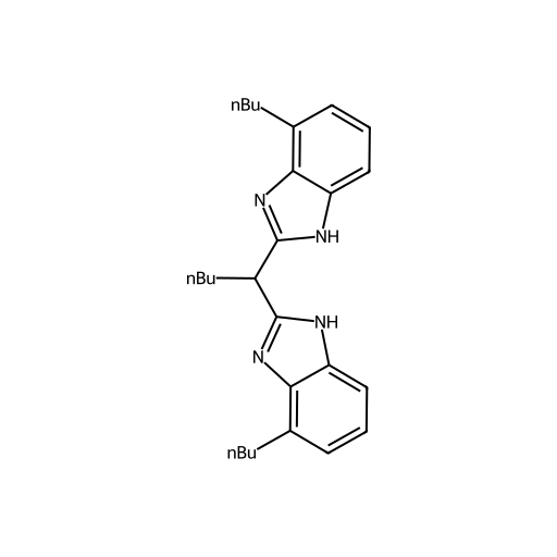 CCCCc1cccc2[nH]c(C(CCCC)c3nc4c(CCCC)cccc4[nH]3)nc12